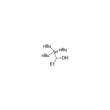 CCC[CH2][Sn]([CH2]CCC)([CH2]CCC)[CH](O)CC